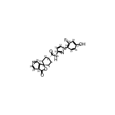 O=C1O[C@]2(CC[C@@H](C(=O)Nc3ccn(-c4ccc(O)cc4F)n3)CC2)c2cnccc21